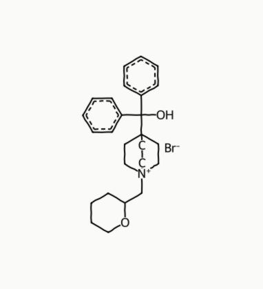 OC(c1ccccc1)(c1ccccc1)C12CC[N+](CC3CCCCO3)(CC1)CC2.[Br-]